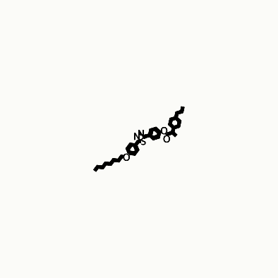 CCCCCCCCOc1ccc(-c2nnc(-c3ccc(OC(=O)C(C)C4CCC(CCC)CC4)cc3)s2)cc1